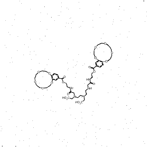 O=C(O)CN(CCNCC(=O)NCCOC(=O)c1ccc2c(c1)OCCOCCOCCOCCO2)CCN(CC(=O)O)CC(=O)NCCOC(=O)c1ccc2c(c1)OCCOCCOCCOCCO2